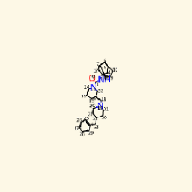 O=C(NC12CC3CC(CC(C3)C1)C2)N1CCCC(CN2CCC(Cc3ccccc3)CC2)C1